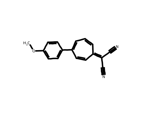 COc1ccc(C2=CC=CC(=C(C#N)C#N)C=C2)cc1